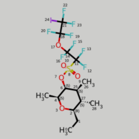 CC[C@H]1O[C@@H](C)[C@@H](OS(=O)(=O)C(F)(F)C(F)(F)OC(F)(F)C(F)(F)I)[C@@H](C)[C@@H]1C